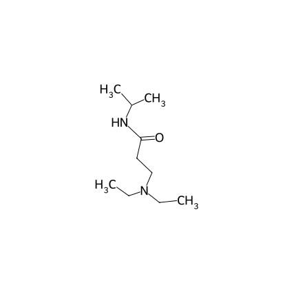 CCN(CC)CCC(=O)NC(C)C